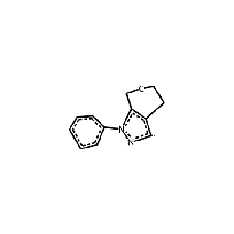 [c]1nn(-c2ccccc2)c2c1CCCC2